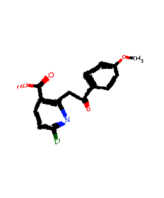 COc1ccc(C(=O)Cc2nc(Cl)ccc2C(=O)O)cc1